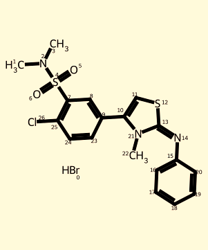 Br.CN(C)S(=O)(=O)c1cc(-c2csc(=Nc3ccccc3)n2C)ccc1Cl